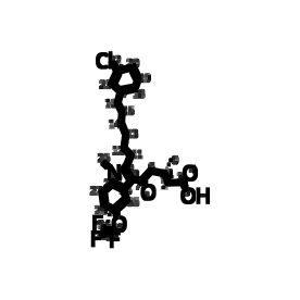 C[C@H](CC(=O)O)CC(=O)c1c(CCCCCCc2cccc(Cl)c2)n(C)c2ccc(OC(F)(F)F)cc12